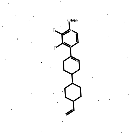 C=CC1CCC(C2CC=C(c3ccc(OC)c(F)c3F)CC2)CC1